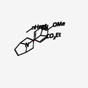 CCCCCCCC.CCOC(=O)C(C#N)C1CC2CCC(C1)N2c1ccc(OC)cc1